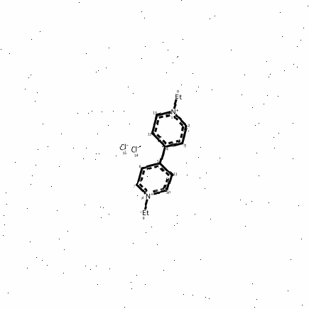 CC[n+]1ccc(-c2cc[n+](CC)cc2)cc1.[Cl-].[Cl-]